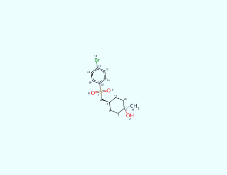 C[C@]1(O)CC[C@@H](CS(=O)(=O)c2ccc(Br)cc2)CC1